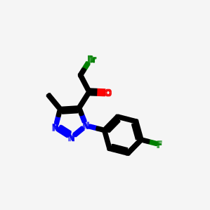 Cc1nnn(-c2ccc(F)cc2)c1C(=O)CBr